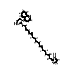 C1=NCCN1.CCCCCCCCCCCCCCCCCc1ncc[nH]1.c1ccc2ncccc2c1